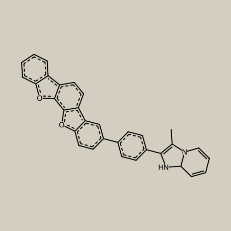 CC1=C(c2ccc(-c3ccc4oc5c(ccc6c7ccccc7oc65)c4c3)cc2)NC2C=CC=CN12